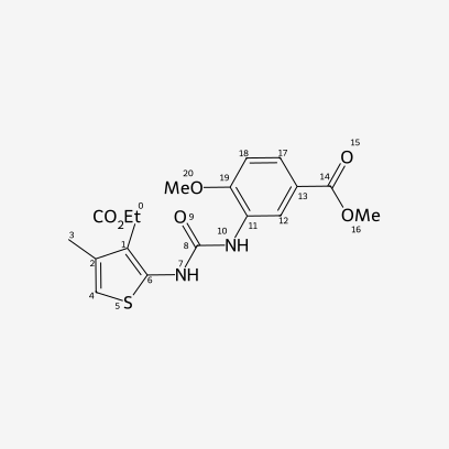 CCOC(=O)c1c(C)csc1NC(=O)Nc1cc(C(=O)OC)ccc1OC